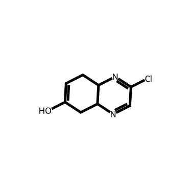 OC1=CCC2N=C(Cl)C=NC2C1